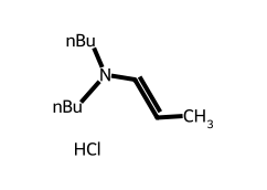 CC=CN(CCCC)CCCC.Cl